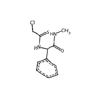 CNC(=O)C(NC(=S)CCl)c1ccccc1